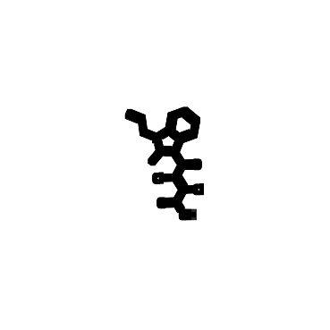 C=CCn1c(C)c(C(=O)/C(Cl)=C(\Cl)C(=O)O)c2ccccc21